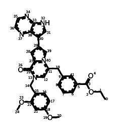 CCOC(=O)c1cccc(Cc2cn(Cc3ccc(OC)cc3OC)c(=O)c3cc(-c4c[nH]c5nccnc45)cn23)c1